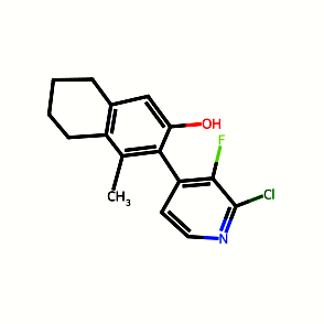 Cc1c2c(cc(O)c1-c1ccnc(Cl)c1F)CCCC2